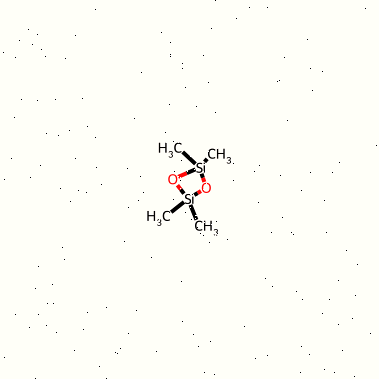 C[Si]1(C)O[Si](C)(C)O1